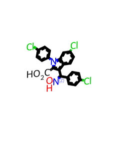 O=C(O)c1c(/C(=N\O)c2ccc(Cl)cc2)c2ccc(Cl)cc2n1-c1ccc(Cl)cc1